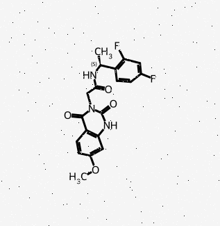 COc1ccc2c(=O)n(CC(=O)N[C@@H](C)c3ccc(F)cc3F)c(=O)[nH]c2c1